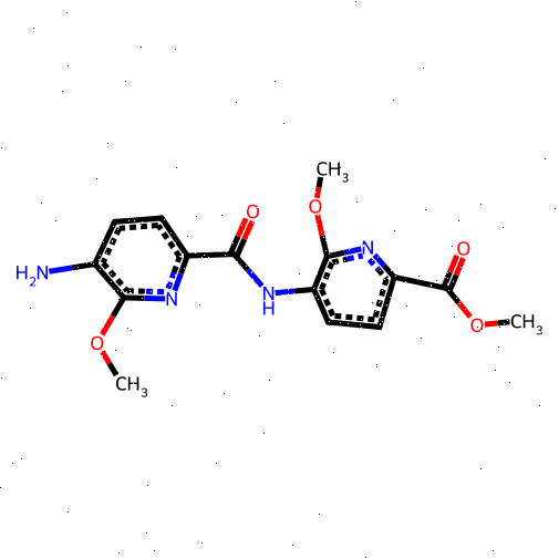 COC(=O)c1ccc(NC(=O)c2ccc(N)c(OC)n2)c(OC)n1